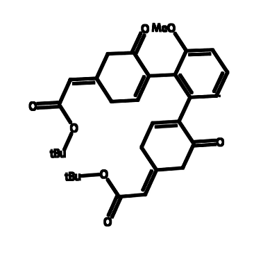 COc1cc[c]c(C2=CCC(=CC(=O)OC(C)(C)C)CC2=O)c1C1=CCC(=CC(=O)OC(C)(C)C)CC1=O